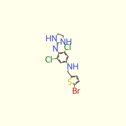 Clc1cc(NCc2ccc(Br)s2)cc(Cl)c1N=C1NCCN1